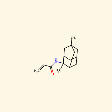 C=CC(=O)NC1(C)C2CC3CC1CC(C)(C3)C2